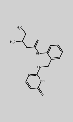 CCC(C)CC(=O)Nc1ccccc1CNc1nccc(=O)[nH]1